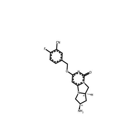 N#Cc1cc(COc2cc3n(c(=O)n2)C[C@H]2C[C@@H](N)CN32)ccc1F